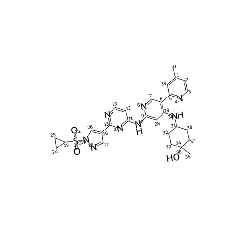 Cc1ccnc(-c2cnc(Nc3ccnc(-c4cnn(S(=O)(=O)C5CC5)c4)n3)cc2NC2CCC(C)(O)CC2)c1